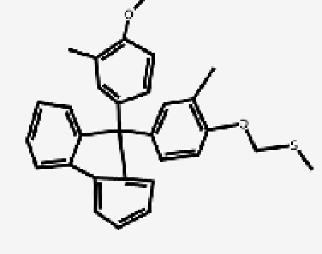 COc1ccc(C2(c3ccc(OCSC)c(C)c3)c3ccccc3-c3ccccc32)cc1C